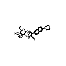 CC[C@H]1OC(O)[C@H](NS(=O)(=O)/C(C#N)=C(\C)c2ccc3cc(N4CCOCC4)ccc3c2)[C@@H](O)[C@@H]1O